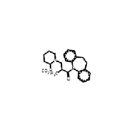 CC(CN1CCCCC1C(=O)O)C(=O)N1c2ccccc2CCc2ccccc21